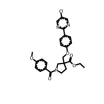 CCOC(=O)C1(COc2ccc(-c3ncc(Cl)cn3)cc2)CCN(C(=O)c2ccc(OC)cc2)C1